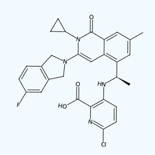 Cc1cc([C@@H](C)Nc2ccc(Cl)nc2C(=O)O)c2cc(N3Cc4ccc(F)cc4C3)n(C3CC3)c(=O)c2c1